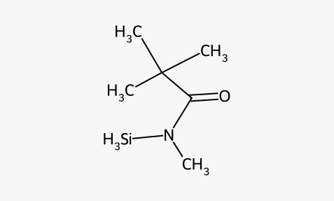 CN([SiH3])C(=O)C(C)(C)C